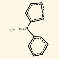 [Br-].[Fe+2].c1ccc([N-]c2ccccc2)cc1